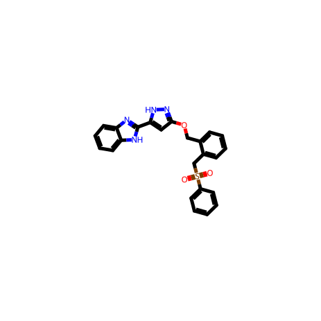 O=S(=O)(Cc1ccccc1COc1cc(-c2nc3ccccc3[nH]2)[nH]n1)c1ccccc1